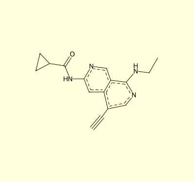 C#Cc1cnc(NCC)c2cnc(NC(=O)C3CC3)cc12